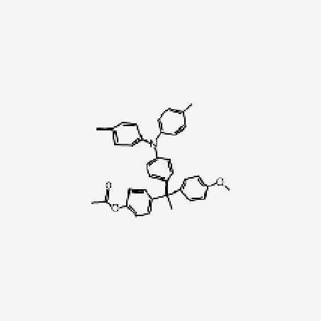 COc1ccc(C(C)(c2ccc(OC(C)=O)cc2)c2ccc(N(c3ccc(C)cc3)c3ccc(C)cc3)cc2)cc1